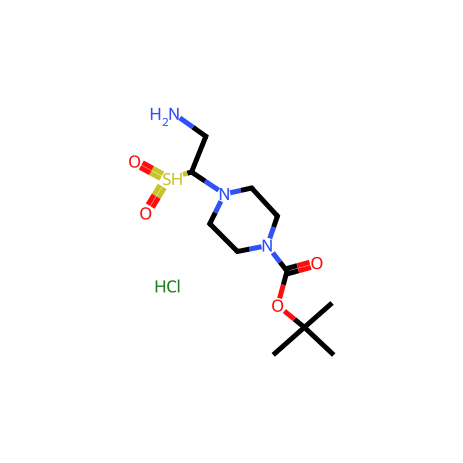 CC(C)(C)OC(=O)N1CCN(C(CN)[SH](=O)=O)CC1.Cl